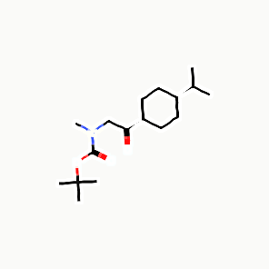 CC(C)[C@H]1CC[C@@H](C(=O)CN(C)C(=O)OC(C)(C)C)CC1